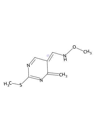 C=c1nc(SC)nc/c1=C/NOC